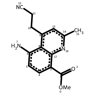 COC(=O)c1ccc(N)c2c(CCC#N)cc(C)nc12